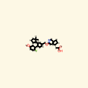 COc1ccc(F)c(-c2ccc(COc3cc4c(cn3)CC[C@@H]4CC(=O)O)cc2C2=CCCC2(C)C)c1